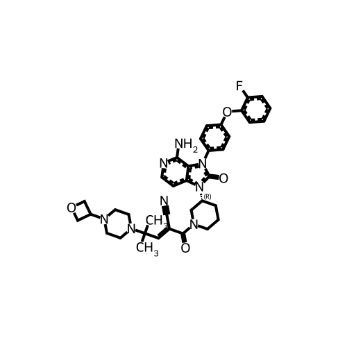 CC(C)(C=C(C#N)C(=O)N1CCC[C@@H](n2c(=O)n(-c3ccc(Oc4ccccc4F)cc3)c3c(N)nccc32)C1)N1CCN(C2COC2)CC1